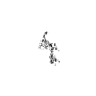 Cc1csc2c(OC(=O)N(C)CCN(C)C(=O)OCc3ccc(NC(=O)[C@H](CCCN)NC(N)=O)cc3)cc3c(c12)[C@H](CCl)CN3C(=O)c1cc2cc(OCCN3CCCC3)ccc2[nH]1